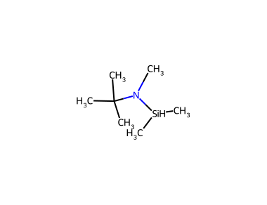 CN([SiH](C)C)C(C)(C)C